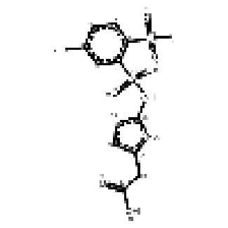 CS(=O)(=O)c1ccc(F)cc1S(=O)(=O)Nc1nc(CC(=O)O)cs1